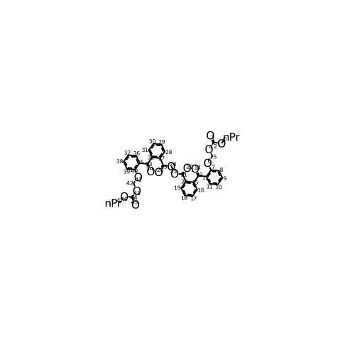 CCCOC(=O)OCOc1ccccc1C(=O)c1ccccc1C(=O)OOC(=O)c1ccccc1C(=O)c1ccccc1OCOC(=O)OCCC